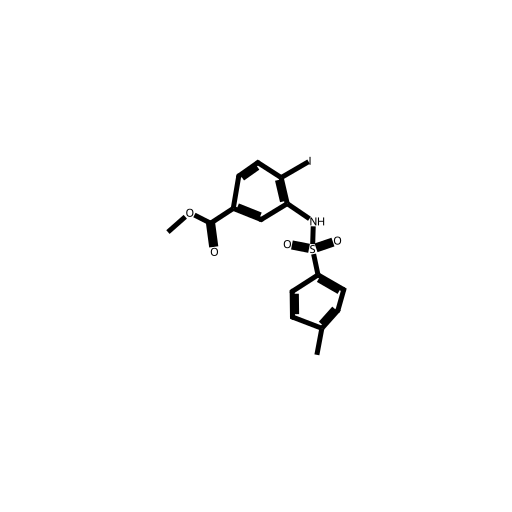 COC(=O)c1ccc(I)c(NS(=O)(=O)c2ccc(C)cc2)c1